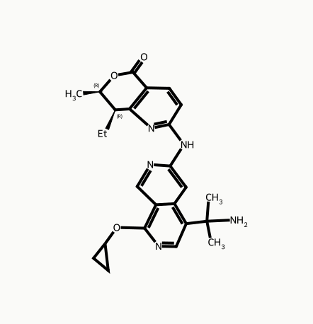 CC[C@@H]1c2nc(Nc3cc4c(C(C)(C)N)cnc(OC5CC5)c4cn3)ccc2C(=O)O[C@@H]1C